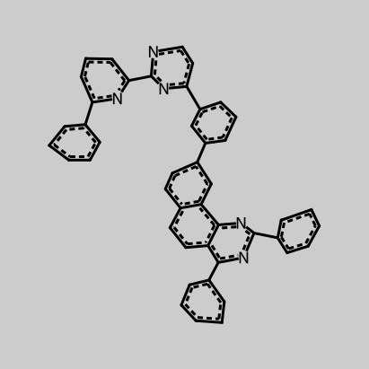 c1ccc(-c2cccc(-c3nccc(-c4cccc(-c5ccc6ccc7c(-c8ccccc8)nc(-c8ccccc8)nc7c6c5)c4)n3)n2)cc1